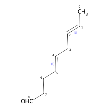 C/C=C/C/C=C/CCC=O